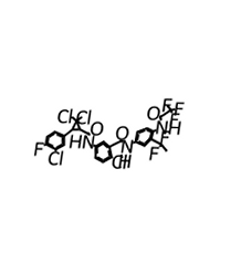 CC(F)(F)c1cc(NC(=O)c2cc(NC(=O)C3C(c4ccc(F)c(Cl)c4)C3(Cl)Cl)ccc2Cl)ccc1NC(=O)C(F)(F)F